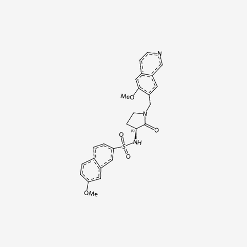 COc1ccc2ccc(S(=O)(=O)N[C@H]3CCN(Cc4cc5cnccc5cc4OC)C3=O)cc2c1